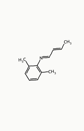 CC=CC=Nc1c(C)cccc1C